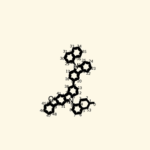 CC1C=Cc2c(cccc2-n2c3ccc(-c4ccc5c(c4)c4ccccc4n5-c4cccc5ccccc45)cc3c3cc4oc5ccccc5c4cc32)C1